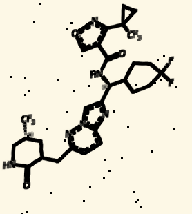 O=C(N[C@H](c1cn2nc(CC3C[C@@H](C(F)(F)F)CNC3=O)ccc2n1)C1CCC(F)(F)CC1)c1conc1C1(C(F)(F)F)CC1